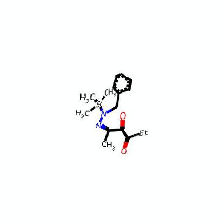 CCC(=O)C(=O)C(C)=NN(Cc1ccccc1)[Si](C)(C)C